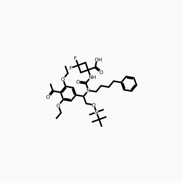 CCOc1cc(C(CO[Si](C)(C)C(C)(C)C)N(CCCCc2ccccc2)C(=O)NC2(C(=O)O)CC(F)(F)C2)cc(OCC)c1C(C)=O